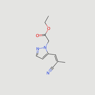 CCOC(=O)Cn1nccc1C=C(C)C#N